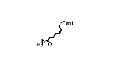 CCCCCC/C=C\CCCC(=O)NS